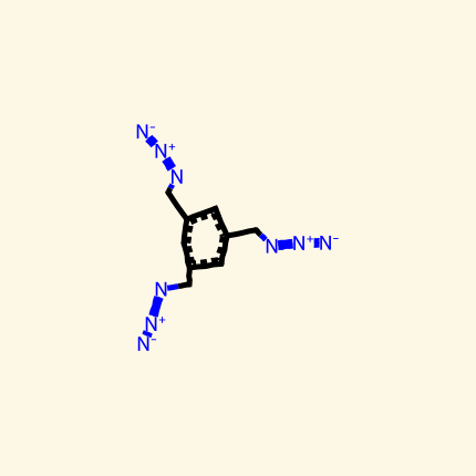 [N-]=[N+]=NCc1cc(CN=[N+]=[N-])cc(CN=[N+]=[N-])c1